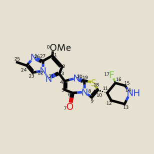 COc1cc(-c2cc(=O)n3cc([C@H]4CCNC[C@@H]4F)sc3n2)nn2cc(C)nc12